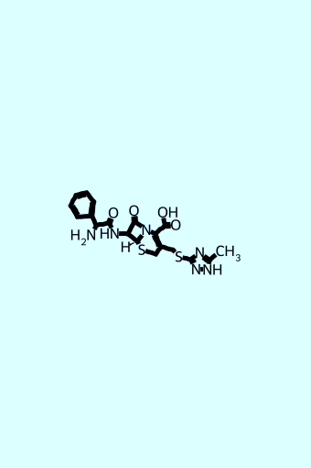 Cc1nc(SCC2=C(C(=O)O)N3C(=O)C(NC(=O)C(N)c4ccccc4)[C@@H]3SC2)n[nH]1